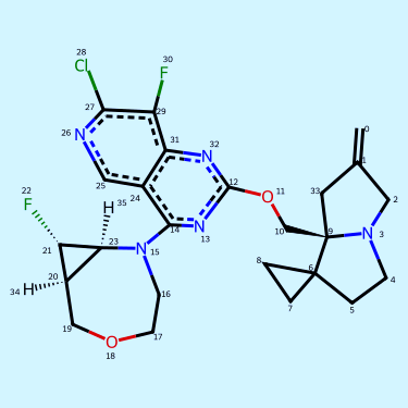 C=C1CN2CCC3(CC3)[C@]2(COc2nc(N3CCOC[C@H]4[C@H](F)[C@H]43)c3cnc(Cl)c(F)c3n2)C1